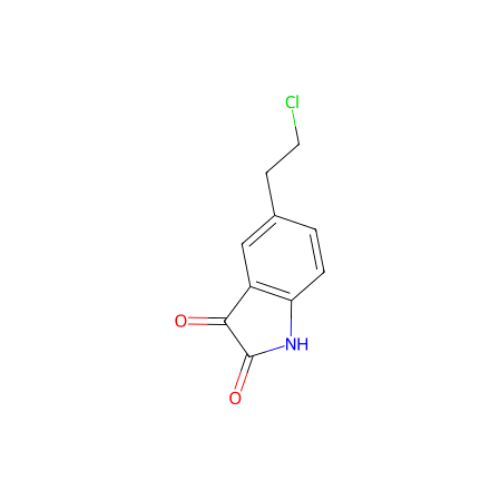 O=C1Nc2ccc(CCCl)cc2C1=O